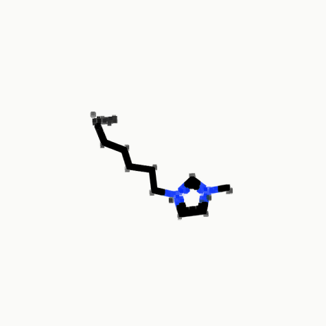 CCCCCCCCCCCC[n+]1ccn(C)c1